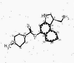 BC[C@@H]1CNc2cc(OC(=O)N3CCN(C)CC3)c3ccccc3c21